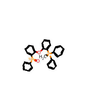 C=P(c1ccccc1)(c1ccccc1)c1ccccc1Oc1ccccc1[PH](=O)c1ccccc1